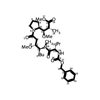 CC[C@H](C)[C@@H]([C@@H](CC(=O)N1CCC[C@H]1[C@H](OC)[C@@H](C)C(=O)OC)OC)N(C)C(=O)[C@@H](NC(=O)OCc1ccccc1)C(C)C